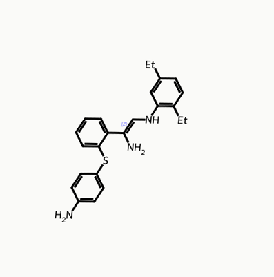 CCc1ccc(CC)c(N/C=C(\N)c2ccccc2Sc2ccc(N)cc2)c1